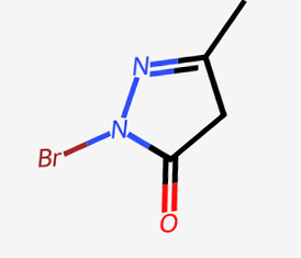 CC1=NN(Br)C(=O)C1